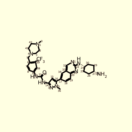 CN1CCN(Cc2ccc(NC(=O)Nc3cc(-c4ccc5nc(N[C@H]6CC[C@@H](N)CC6)ncc5c4)n(C)n3)cc2C(F)(F)F)CC1